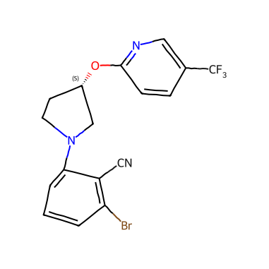 N#Cc1c(Br)cccc1N1CC[C@H](Oc2ccc(C(F)(F)F)cn2)C1